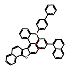 c1ccc(-c2ccc(N(c3cccc(-c4cccc5ccccc45)c3)c3ccccc3-c3cccc4oc5c6ccccc6ccc5c34)cc2)cc1